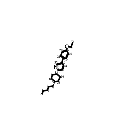 CCCCC[C@H]1CC[C@H](c2ccc(-c3ccc(OCC)cc3)cn2)CC1